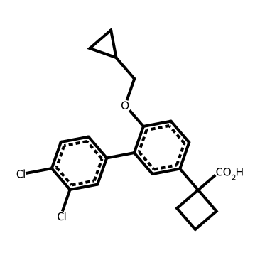 O=C(O)C1(c2ccc(OCC3CC3)c(-c3ccc(Cl)c(Cl)c3)c2)CCC1